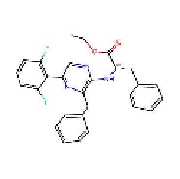 CCOC(=O)[C@H](Cc1ccccc1)Nc1ncc(-c2c(F)cccc2F)nc1Cc1ccccc1